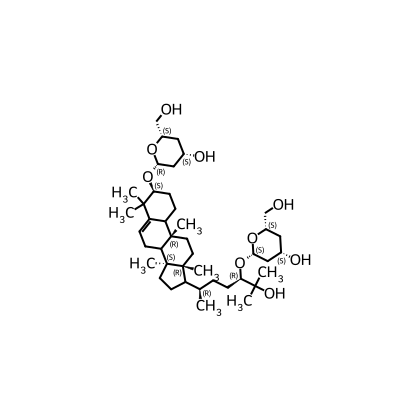 C[C@H](CC[C@@H](O[C@H]1C[C@@H](O)C[C@@H](CO)O1)C(C)(C)O)C1CC[C@@]2(C)C3CC=C4C(CC[C@H](O[C@H]5C[C@@H](O)C[C@@H](CO)O5)C4(C)C)[C@]3(C)CC[C@]12C